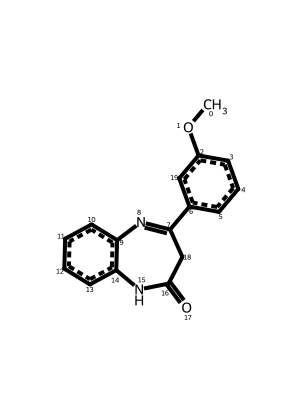 COc1cccc(C2=Nc3ccccc3NC(=O)C2)c1